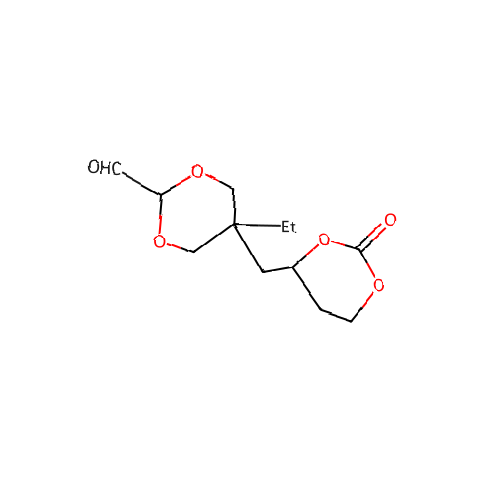 CCC1(CC2CCOC(=O)O2)COC(C=O)OC1